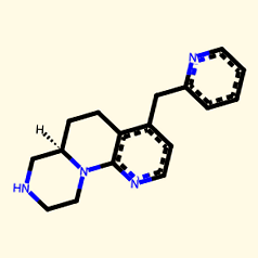 c1ccc(Cc2ccnc3c2CC[C@@H]2CNCCN32)nc1